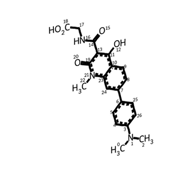 CN(C)c1ccc(-c2ccc3c(O)c(C(=O)NCC(=O)O)c(=O)n(C)c3c2)cc1